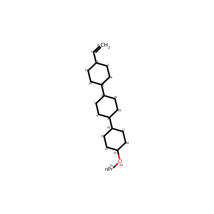 C=CC1CCC(C2CCC(C3CCC(OCCC)CC3)CC2)CC1